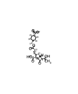 C[C@H](O)[C@@H]1C(=O)N2C(C(=O)O)=C(SCC(=O)OCc3ccc([N+](=O)[O-])cc3)C[C@H]12